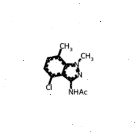 CC(=O)Nc1nn(C)c2c(C)ccc(Cl)c12